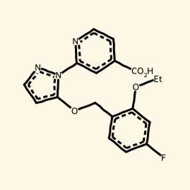 CCOc1cc(F)ccc1COc1ccnn1-c1cc(C(=O)O)ccn1